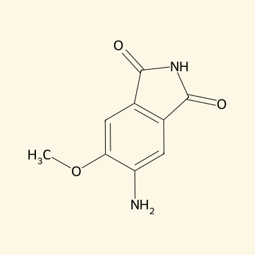 COc1cc2c(cc1N)C(=O)NC2=O